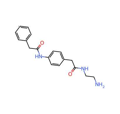 NCCNC(=O)Cc1ccc(NC(=O)Cc2cc[c]cc2)cc1